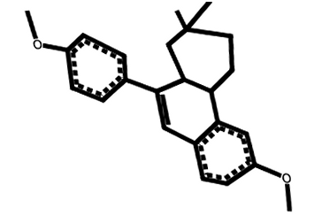 COc1ccc(C2=Cc3ccc(OC)cc3C3CCC(C)(C)CC23)cc1